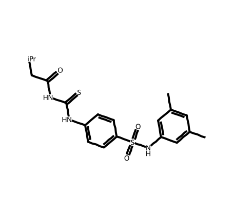 Cc1cc(C)cc(NS(=O)(=O)c2ccc(NC(=S)NC(=O)CC(C)C)cc2)c1